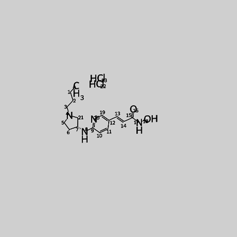 CCCCN1CC[C@@H](Nc2ccc(C=CC(=O)NO)cn2)C1.Cl.Cl